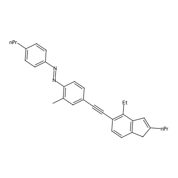 CCCC1=Cc2c(ccc(C#Cc3ccc(N=Nc4ccc(CCC)cc4)c(C)c3)c2CC)C1